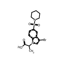 CC(C(=O)O)n1cc(Br)c2cc(S(=O)(=O)N3CCCCC3)ccc21